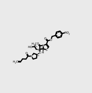 C=CCCC(=O)N1CC[C@H](S[C@]2(C[C@H](C)O)C(=O)N3C(C(=O)OCc4ccc([N+](=O)[O-])cc4)=CS[C@@H]32)C1